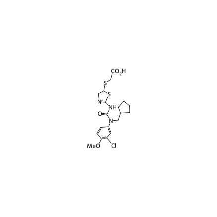 COc1ccc(N(CC2CCCC2)C(=O)NC2=NCC(SCC(=O)O)S2)cc1Cl